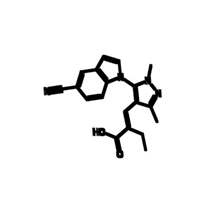 CC/C(=C\c1c(C)nn(C)c1-n1ccc2cc(C#N)ccc21)C(=O)O